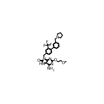 COCCOc1nc(N)c2[nH]c(=O)n(Cc3ccc(-c4cccc(CN5CCCC5)c4)c(C(F)(F)F)c3)c2n1